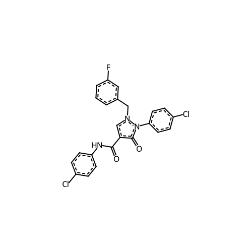 O=C(Nc1ccc(Cl)cc1)c1cn(Cc2cccc(F)c2)n(-c2ccc(Cl)cc2)c1=O